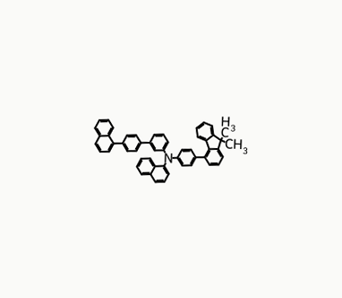 CC1(C)c2ccccc2-c2c(-c3ccc(N(c4cccc(-c5ccc(-c6cccc7ccccc67)cc5)c4)c4cccc5ccccc45)cc3)cccc21